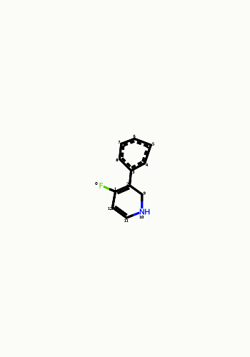 FC1=C(c2ccccc2)CNC=[C]1